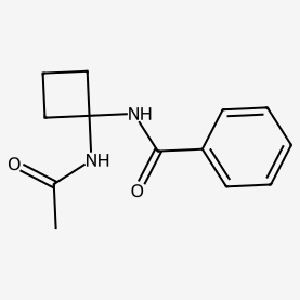 CC(=O)NC1(NC(=O)c2ccccc2)CCC1